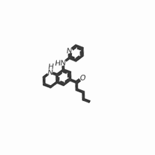 CCCCC(=O)c1cc2c(c(Nc3ccccn3)c1)NCCC2